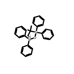 CC(C)(C)[Si](O[SiH](c1ccccc1)c1ccccc1)(c1ccccc1)c1ccccc1